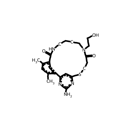 Cc1cc(C)c2cc1C(=O)NCCCCN(CCO)C(=O)CCSc1cc-2nc(N)n1